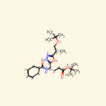 C[C@@H](COC(C)(C)C)c1nnc([C@H](CCC(=O)OC(C)(C)C)NC(=O)C2CCCCC2)o1